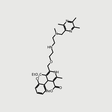 CCOC(=O)C1=C(COCCNCCN(C)Cc2nc(C)c(C)nc2C)NC(C)=C(C(=O)OC)C1c1ccccc1Cl